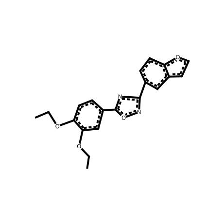 CCOc1ccc(-c2nc(-c3ccc4occc4c3)no2)cc1OCC